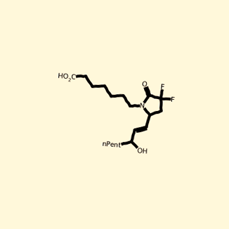 CCCCCC(O)C=CC1CC(F)(F)C(=O)N1CCCCCCC(=O)O